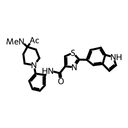 CNC1(C(C)=O)CCN(c2ccccc2NC(=O)c2csc(-c3ccc4[nH]ccc4c3)n2)CC1